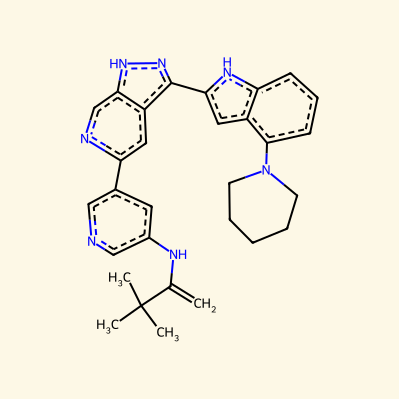 C=C(Nc1cncc(-c2cc3c(-c4cc5c(N6CCCCC6)cccc5[nH]4)n[nH]c3cn2)c1)C(C)(C)C